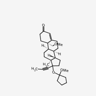 CC#CC1(OC2(OC)CCCC2)CC[C@H]2[C@@H]3CCC4=CC(=O)CC[C@]4(COC)[C@@H]3CC[C@@]21C